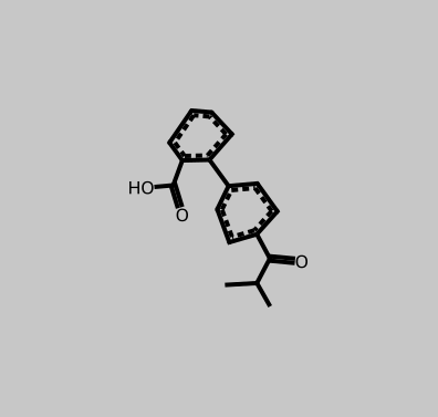 CC(C)C(=O)c1ccc(-c2ccccc2C(=O)O)cc1